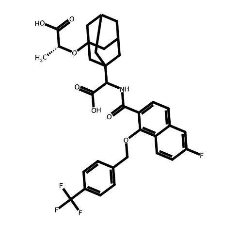 C[C@@H](OC12CC3CC(C1)CC(C(NC(=O)c1ccc4cc(F)ccc4c1OCc1ccc(C(F)(F)F)cc1)C(=O)O)(C3)C2)C(=O)O